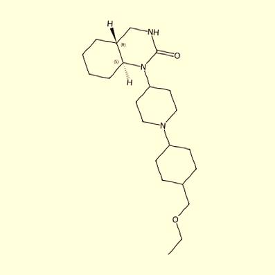 CCOCC1CCC(N2CCC(N3C(=O)NC[C@H]4CCCC[C@@H]43)CC2)CC1